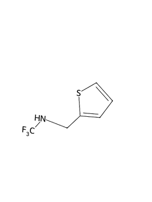 FC(F)(F)NCc1cccs1